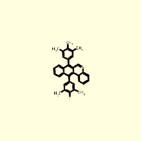 Cc1cc(-c2c3ccccc3c(-c3cc(C)c(I)c(C)c3)c3c2cnc2ccccc23)cc(C)c1C